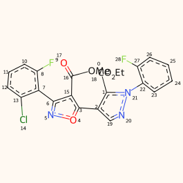 CCOC(=O)c1c(-c2onc(-c3c(F)cccc3Cl)c2C(=O)OC)cnn1-c1ccccc1F